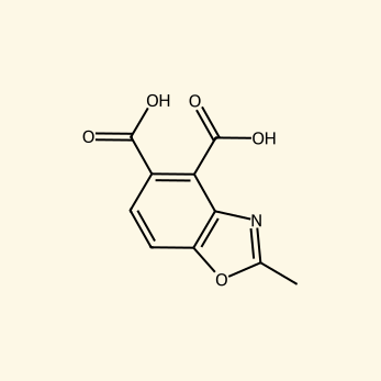 Cc1nc2c(C(=O)O)c(C(=O)O)ccc2o1